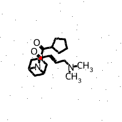 CN(C)C/C=C/C(=O)N1C2CC1CN(C(=O)C1CCCC1)C2